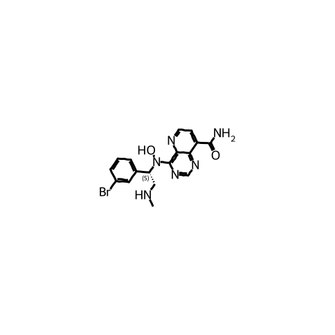 CNC[C@H](c1cccc(Br)c1)N(O)c1ncnc2c(C(N)=O)ccnc12